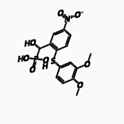 COc1ccc(Sc2ccc([N+](=O)[O-])cc2C(O)P(=O)(O)O)cc1OC